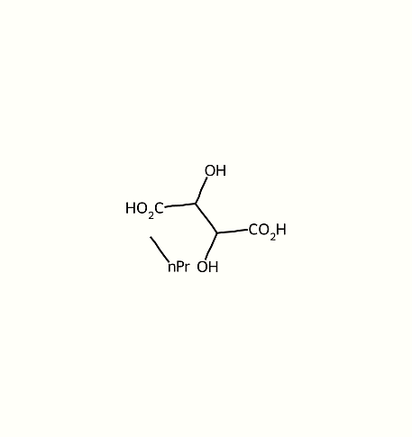 CCCC.O=C(O)C(O)C(O)C(=O)O